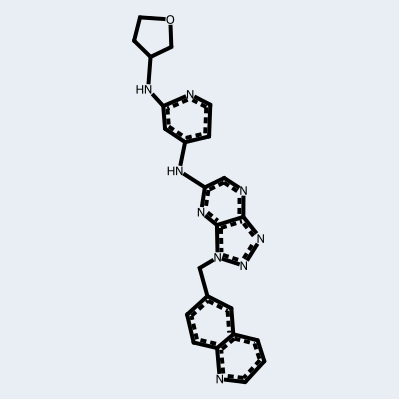 c1cnc2ccc(Cn3nnc4ncc(Nc5ccnc(NC6CCOC6)c5)nc43)cc2c1